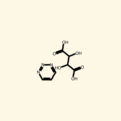 O=C(O)C(O)C(O)C(=O)O.c1cnnnc1